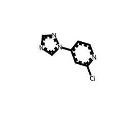 Clc1cc(-n2cncn2)ccn1